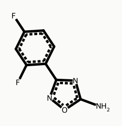 Nc1nc(-c2ccc(F)cc2F)no1